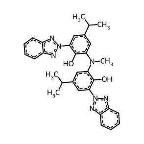 CC(C)c1cc(N(C)c2cc(C(C)C)cc(-n3nc4ccccc4n3)c2O)c(O)c(-n2nc3ccccc3n2)c1